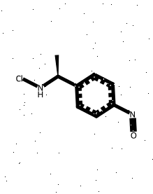 C[C@H](NCl)c1ccc(N=O)cc1